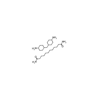 NC(=O)CCCCCCCCCCC(N)=O.NC1CCC(CC2CCC(N)CC2)CC1